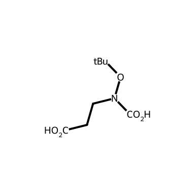 CC(C)(C)ON(CCC(=O)O)C(=O)O